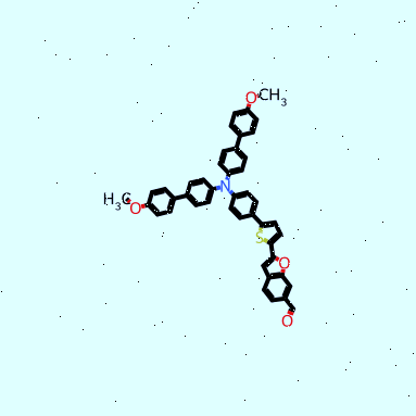 COc1ccc(-c2ccc(N(c3ccc(-c4ccc(OC)cc4)cc3)c3ccc(-c4ccc(-c5cc6ccc(C=O)cc6o5)s4)cc3)cc2)cc1